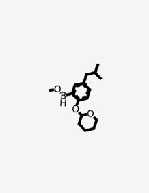 COBc1cc(CC(C)C)ccc1OC1CCCCO1